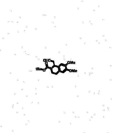 COc1cc2c(cc1OC)[C@H](CC=O)N(C(=O)OC(C)(C)C)CC2